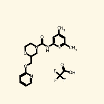 Cc1cc(C)nc(NC(=O)N2CCOC(COc3ccccn3)C2)c1.O=C(O)C(F)(F)F